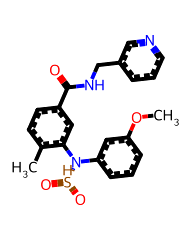 COc1cccc(N(c2cc(C(=O)NCc3cccnc3)ccc2C)[SH](=O)=O)c1